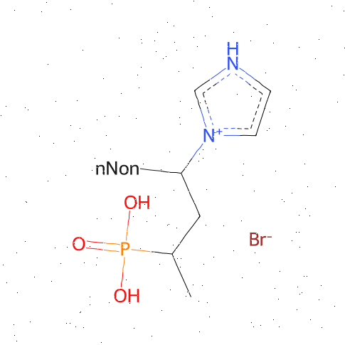 CCCCCCCCCC(CC(C)P(=O)(O)O)[n+]1cc[nH]c1.[Br-]